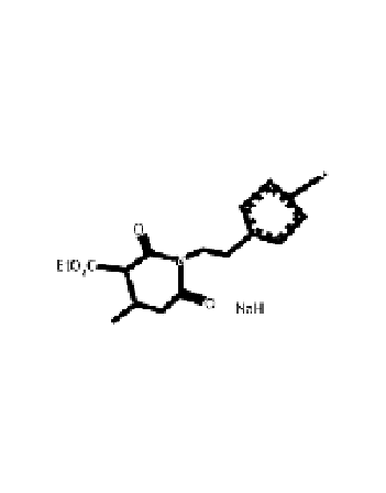 CCOC(=O)C1C(=O)N(CCc2ccc(F)cc2)C(=O)CC1C.[NaH]